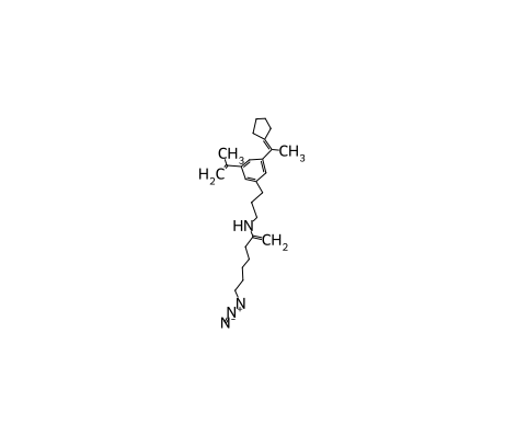 C=C(CCCCCN=[N+]=[N-])NCCCc1cc(C(=C)C)cc(C(C)=C2CCCC2)c1